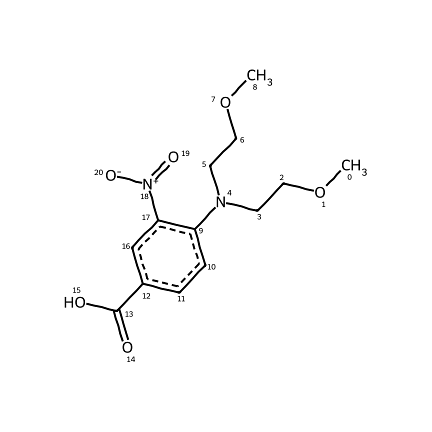 COCCN(CCOC)c1ccc(C(=O)O)cc1[N+](=O)[O-]